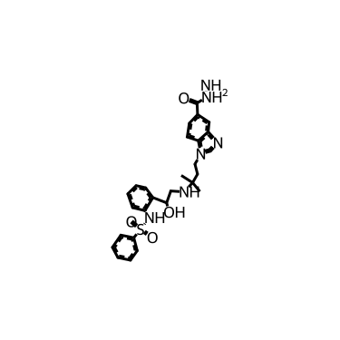 CC(C)(CCn1cnc2cc(C(=O)NN)ccc21)NCC(O)c1ccccc1NS(=O)(=O)c1ccccc1